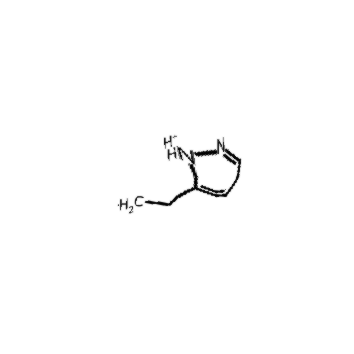 [CH2]Cc1ccn[nH]1.[H+]